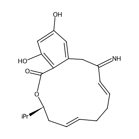 CC(C)[C@@H]1C/C=C/CC/C=C/C(=N)Cc2cc(O)cc(O)c2C(=O)O1